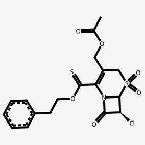 CC(=O)OCC1=C(C(=S)OCCc2ccccc2)N2C(=O)[C@H](Cl)C2S(=O)(=O)C1